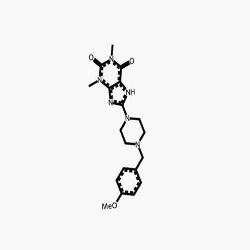 COc1ccc(CN2CCN(c3nc4c([nH]3)c(=O)n(C)c(=O)n4C)CC2)cc1